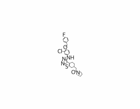 O=C(CC1CCc2c(sc3ncnc(Nc4ccc(OCc5ccc(F)cc5)c(Cl)c4)c23)C1)N1CCCC1